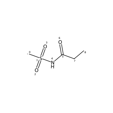 [CH2]S(=O)(=O)NC(=O)CC